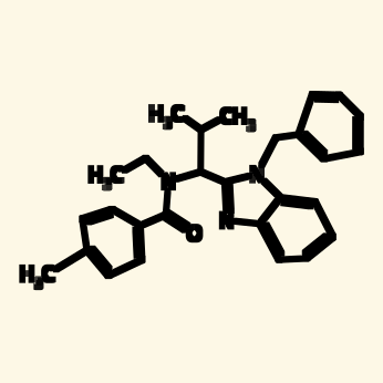 CCN(C(=O)c1ccc(C)cc1)C(c1nc2ccccc2n1Cc1ccccc1)C(C)C